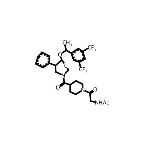 CC(=O)NCC(=O)N1CCC(C(=O)N2CCC(OC(C)c3cc(C(F)(F)F)cc(C(F)(F)F)c3)C(c3ccccc3)C2)CC1